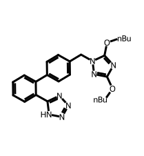 CCCCOc1nc(OCCCC)n(Cc2ccc(-c3ccccc3-c3nnn[nH]3)cc2)n1